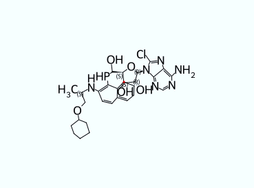 C[C@@H](COC1CCCCC1)Nc1ccc2ccccc2c1PC(O)[C@H]1O[C@@H](n2c(Cl)nc3c(N)ncnc32)[C@H](O)[C@@H]1O